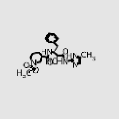 Cc1cnc(NC(=O)[C@H](O)[C@H](Cc2ccccc2)NC(=O)C2CCCN(S(C)(=O)=O)C2)[nH]1